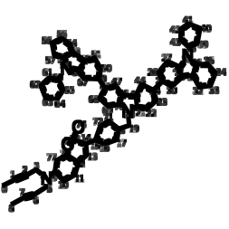 CC#CCN(CC#CC)c1ccc2cc(-c3ccc(Cn4c5ccc(-c6ccc7c(c6)c6ccccc6n7-c6ccccc6)cc5c5cc(-c6ccc7c8ccccc8n(-c8ccccc8)c7c6)ccc54)cc3)c(=O)oc2c1